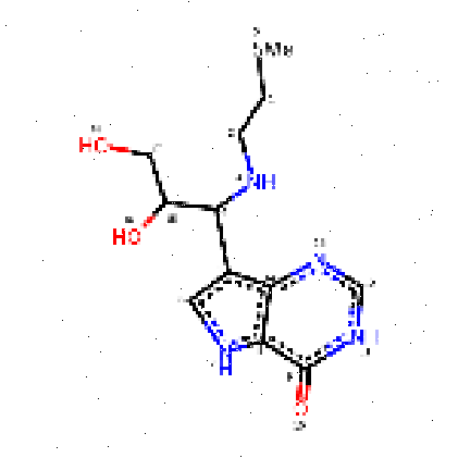 CSCCNC(c1c[nH]c2c(=O)[nH]cnc12)C(O)CO